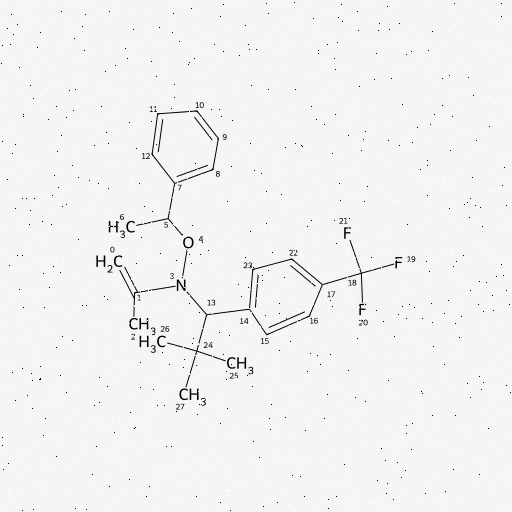 C=C(C)N(OC(C)c1ccccc1)C(c1ccc(C(F)(F)F)cc1)C(C)(C)C